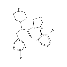 O=C(C(Cc1ccc(Cl)cc1)C1CCNCC1)[C@@H]1CNC[C@H]1c1ccccc1Br